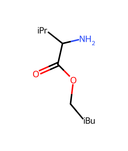 C[CH]C(C)COC(=O)C(N)C(C)C